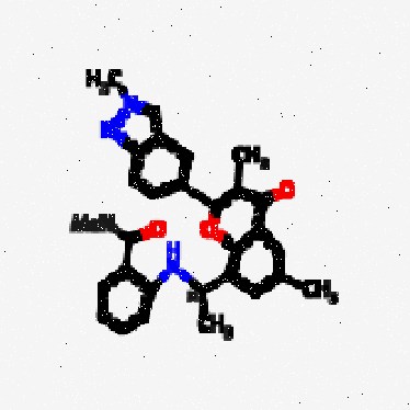 CNC(=O)c1ccccc1N[C@H](C)c1cc(C)cc2c(=O)c(C)c(-c3ccc4nn(C)cc4c3)oc12